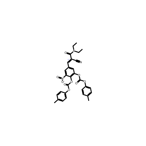 CCN(CC)C(=O)/C(C#N)=C/c1cc(OC(=O)Oc2ccc(C)cc2)c(OC(=O)Oc2ccc(C)cc2)c([N+](=O)[O-])c1